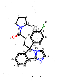 CC1CCCN1C(=O)CCC1(c2ccc(Cl)cc2)c2ccccc2-c2nccn21